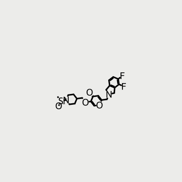 C[S+]([O-])N1CCC(COc2coc(CN3Cc4ccc(F)c(F)c4C3)cc2=O)CC1